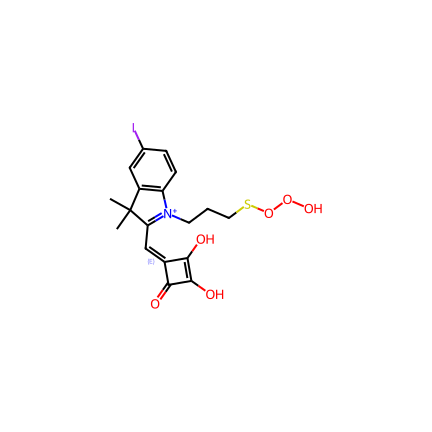 CC1(C)C(/C=C2/C(=O)C(O)=C2O)=[N+](CCCSOOO)c2ccc(I)cc21